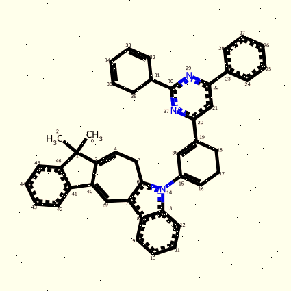 CC1(C)C2=CCc3c(c4ccccc4n3C3=CCCC(c4cc(-c5ccccc5)nc(C5C=CC=CC5)n4)=C3)C=C2c2ccccc21